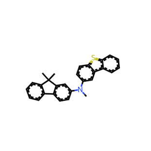 CN(c1ccc2c(c1)C(C)(C)c1ccccc1-2)c1ccc2sc3ccccc3c2c1